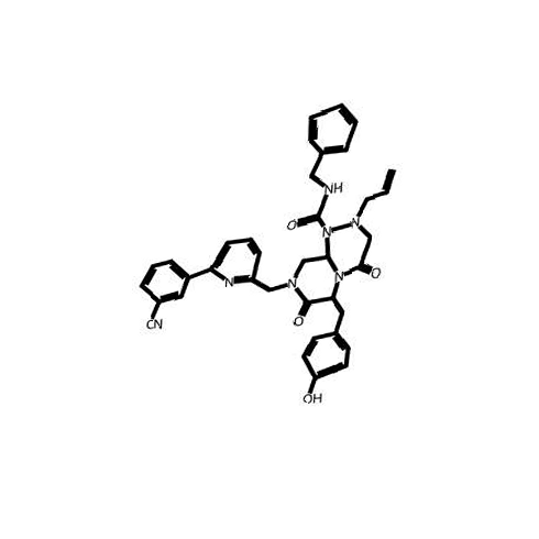 C=CCN1CC(=O)N2C(Cc3ccc(O)cc3)C(=O)N(Cc3cccc(-c4cccc(C#N)c4)n3)CC2N1C(=O)NCc1ccccc1